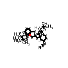 CC(C)(C)OC(=O)N1CCC(N=[N+]=[N-])CC1(CCCCB1OC(C)(C)C(C)(C)O1)C(=O)OCc1ccccc1